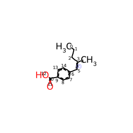 CCC/C(C)=C\c1ccc(C(=O)O)cc1